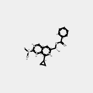 C[C@@H](OC(=O)c1ccccc1)c1cc2cnc([S+](C)[O-])nc2c(C2CC2)n1